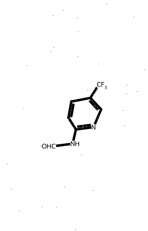 O=[C]Nc1ccc(C(F)(F)F)cn1